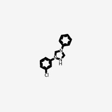 Clc1cccc(N2CN(c3ccccc3)CN2)c1